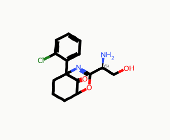 N[C@@H](CO)C1=NC2(c3ccccc3Cl)CCCC(O1)C2=O